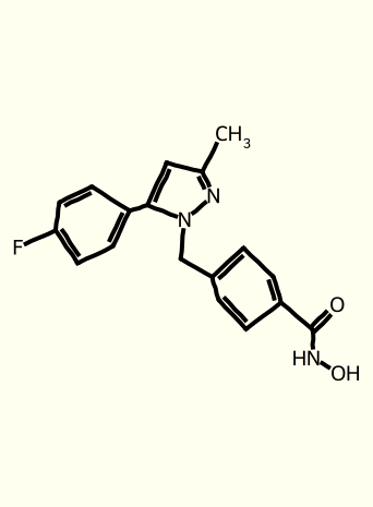 Cc1cc(-c2ccc(F)cc2)n(Cc2ccc(C(=O)NO)cc2)n1